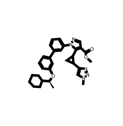 COC(=O)c1cnn(-c2cccc(-c3cccc(O[C@@H](C)C4CCCCC4)c3)c2)c1C1CC1c1cn(C)nn1